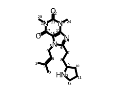 CC(C)=CCn1c(CCC2CCCN2)nc2c1c(=O)n(C)c(=O)n2C